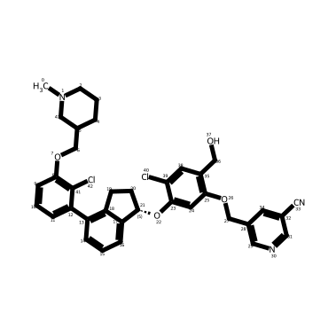 CN1CCCC(COc2cccc(-c3cccc4c3CC[C@@H]4Oc3cc(OCc4cncc(C#N)c4)c(CO)cc3Cl)c2Cl)C1